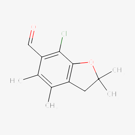 Cc1c(C)c2c(c(Cl)c1C=O)OC(C)(C)C2